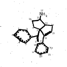 C=C(c1ccccc1)C12CCC(N)C1CC=C2c1ccccc1